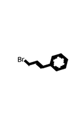 Br[CH]/C=C/c1ccccc1